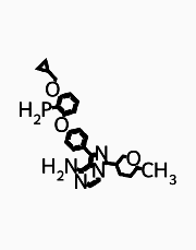 CC1CCC(c2nc(-c3ccc(Oc4cccc(OCC5CC5)c4P)cc3)c3c(N)nccn23)CO1